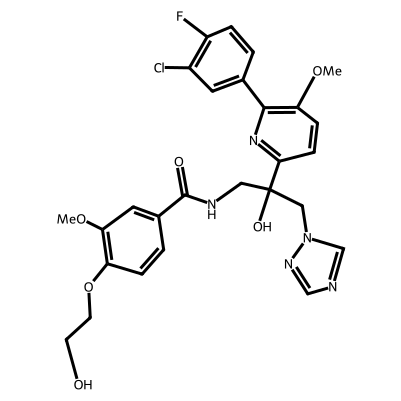 COc1cc(C(=O)NCC(O)(Cn2cncn2)c2ccc(OC)c(-c3ccc(F)c(Cl)c3)n2)ccc1OCCO